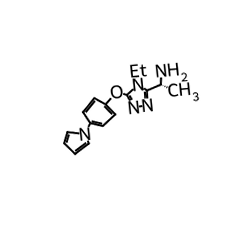 CCn1c(Oc2ccc(-n3cccc3)cc2)nnc1[C@@H](C)N